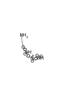 NCCCCCCCCOc1ccc(NC(=O)c2ccc(CN(C(=O)c3ccc4c(c3)OCC(=O)N4)C3CC3)cc2)cc1